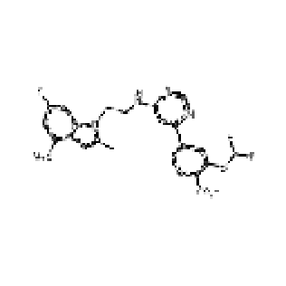 COc1cc(F)cc2c1cc(C)n2CCNc1cc(-c2ccc(C(=O)O)c(OC(F)F)c2)ncn1